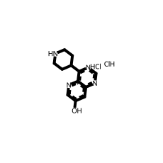 Cl.Cl.Oc1cnc2c(C3CCNCC3)ncnc2c1